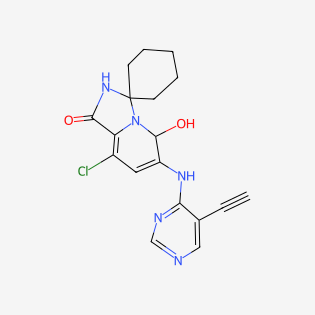 C#Cc1cncnc1NC1=CC(Cl)=C2C(=O)NC3(CCCCC3)N2C1O